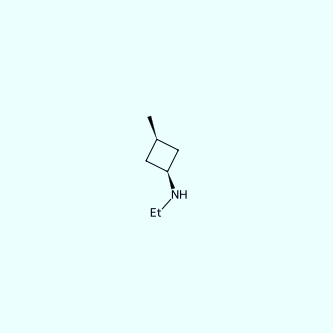 CCN[C@H]1C[C@@H](C)C1